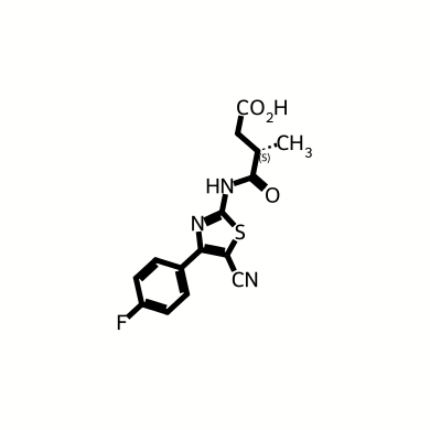 C[C@@H](CC(=O)O)C(=O)Nc1nc(-c2ccc(F)cc2)c(C#N)s1